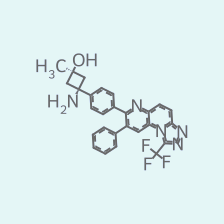 C[C@]1(O)C[C@](N)(c2ccc(-c3nc4ccc5nnc(C(F)(F)F)n5c4cc3-c3ccccc3)cc2)C1